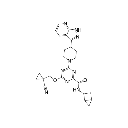 N#CC1(COc2nc(C(=O)NC3CC4CC43)nc(N3CCC(c4n[nH]c5ncccc45)CC3)n2)CC1